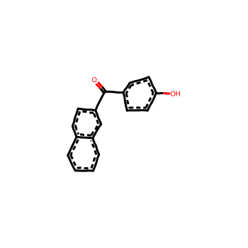 O=C(c1ccc(O)cc1)c1ccc2ccccc2c1